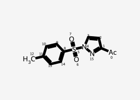 CC(=O)c1ccn(S(=O)(=O)c2ccc(C)cc2)n1